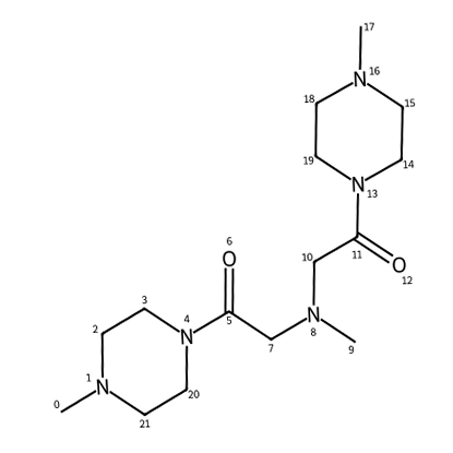 CN1CCN(C(=O)CN(C)CC(=O)N2CCN(C)CC2)CC1